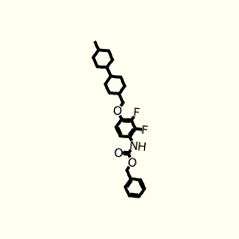 CC1CCC(C2CCC(COc3ccc(NC(=O)OCc4ccccc4)c(F)c3F)CC2)CC1